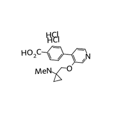 CNC1(COc2cnccc2-c2ccc(C(=O)O)cc2)CC1.Cl.Cl